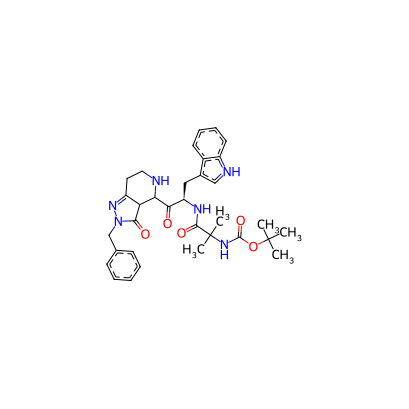 CC(C)(C)OC(=O)NC(C)(C)C(=O)N[C@H](Cc1c[nH]c2ccccc12)C(=O)C1NCCC2=NN(Cc3ccccc3)C(=O)C21